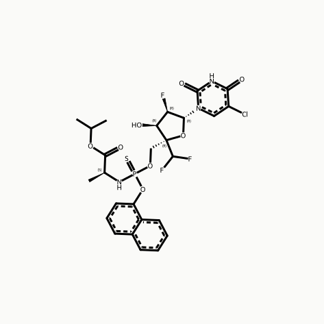 CC(C)OC(=O)[C@H](C)NP(=S)(OC[C@@]1(C(F)F)O[C@@H](n2cc(Cl)c(=O)[nH]c2=O)[C@H](F)[C@@H]1O)Oc1cccc2ccccc12